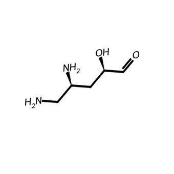 NC[C@@H](N)C[C@@H](O)C=O